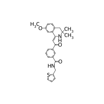 COc1ccc2c(c1)C(=CC(=O)c1cccc(C(=O)NCc3cccs3)c1)NC(C)(C)C2